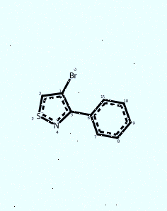 Brc1csnc1-c1ccccc1